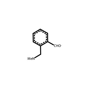 CNCc1ccccc1[C]=O